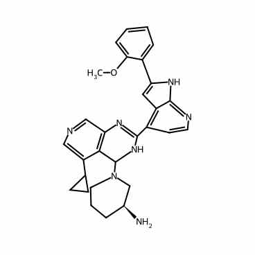 COc1ccccc1-c1cc2c(C3=Nc4cncc(C5CC5)c4C(N4CCC[C@H](N)C4)N3)ccnc2[nH]1